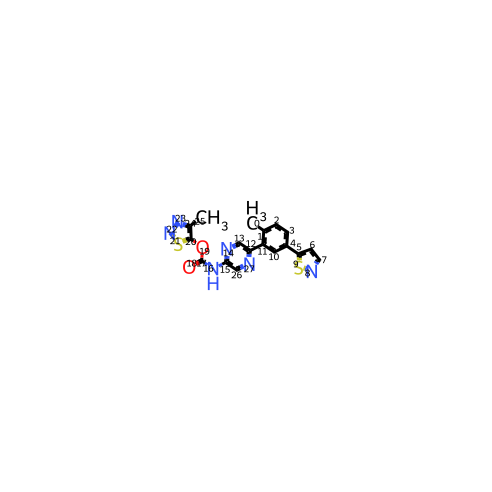 Cc1ccc(-c2ccns2)cc1-c1cnc(NC(=O)Oc2snnc2C)cn1